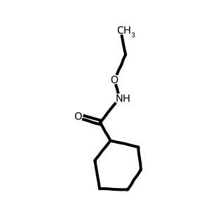 CCONC(=O)C1CCCCC1